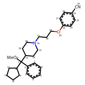 COC(c1ccccc1)(C1CCCC1)C1CCN(CCCOc2ccc(C#N)cc2)CC1